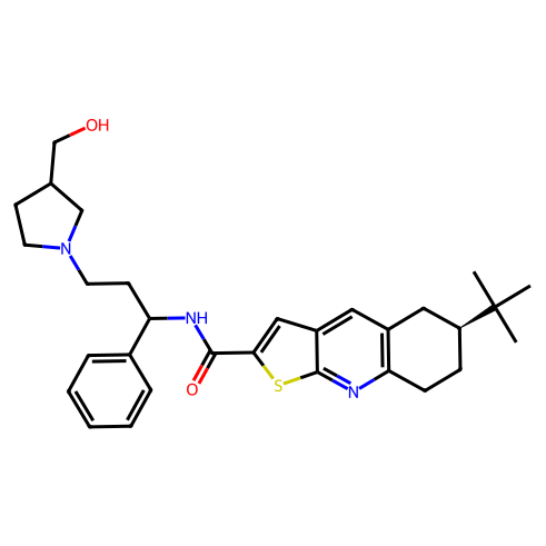 CC(C)(C)[C@H]1CCc2nc3sc(C(=O)NC(CCN4CCC(CO)C4)c4ccccc4)cc3cc2C1